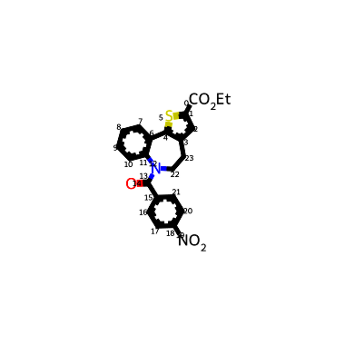 CCOC(=O)c1cc2c(s1)-c1ccccc1N(C(=O)c1ccc([N+](=O)[O-])cc1)CC2